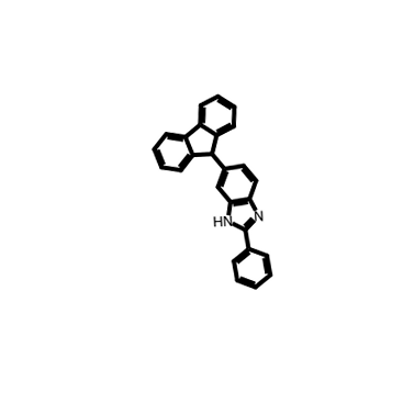 c1ccc(-c2nc3ccc(C4c5ccccc5-c5ccccc54)cc3[nH]2)cc1